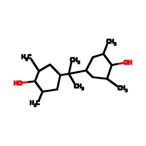 CC1CC(C(C)(C)C2CC(C)C(O)C(C)C2)CC(C)C1O